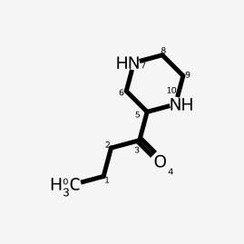 CCCC(=O)C1CNCCN1